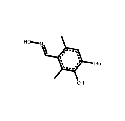 Cc1cc(C(C)(C)C)c(O)c(C)c1C=NO